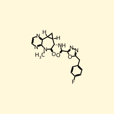 CN1C(=O)[C@@H](NC(=O)c2nnc(Cc3ccc(F)cc3)o2)[C@H]2C[C@H]2c2nccnc21